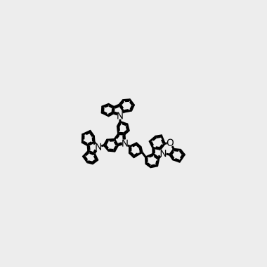 c1ccc2c(c1)Oc1cccc3c4c(-c5ccc(-n6c7ccc(-n8c9ccccc9c9ccccc98)cc7c7cc(-n8c9ccccc9c9ccccc98)ccc76)cc5)cccc4n-2c13